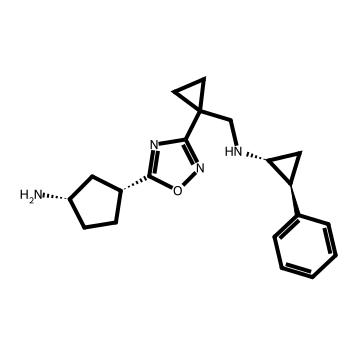 N[C@H]1CC[C@@H](c2nc(C3(CN[C@@H]4C[C@H]4c4ccccc4)CC3)no2)C1